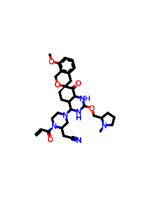 C=CC(=O)N1CCN(C2NC(OCC3CCCN3C)NC3C(=O)[C@@]4(CCC32)Cc2cccc(OC)c2CO4)CC1CC#N